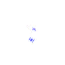 CCCCCCCCC1(CCCCCCCC)c2cc(C)ccc2-c2ccc(-c3cc(-c4ccc(-c5ccc(-c6cc(C)nc(-c7nc(-c8ccccc8)cc(-c8ccccc8)n7)n6)cc5)cc4)cc(-c4nc(-c5ccccc5)cc(-c5ccccc5)n4)c3)cc21